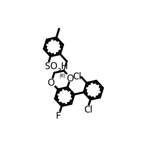 Cc1ccc(S(=O)(=O)O)c(C[C@@H]2COc3cc(F)cc(-c4c(Cl)cccc4Cl)c3O2)c1